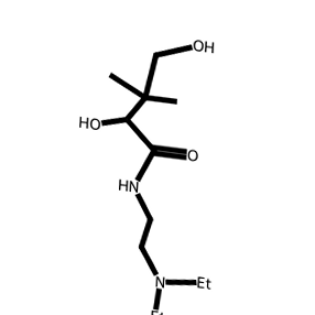 CCN(CC)CCNC(=O)C(O)C(C)(C)CO